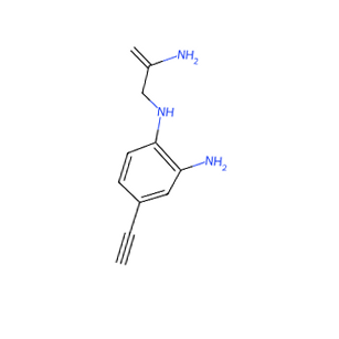 C#Cc1ccc(NCC(=C)N)c(N)c1